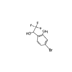 Oc1cc(Br)ccc1C(O)C(F)(F)F